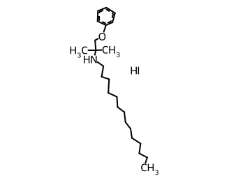 CCCCCCCCCCCCCCNC(C)(C)COc1ccccc1.I